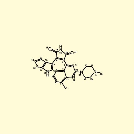 Cc1cccc2c(C3=C(c4c[nH]c5sccc45)C(=O)NC3=O)nc(N3CCN(C)CC3)nc12